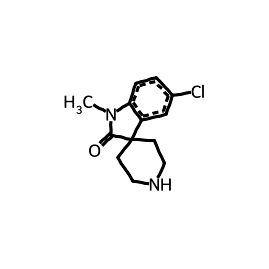 CN1C(=O)C2(CCNCC2)c2cc(Cl)ccc21